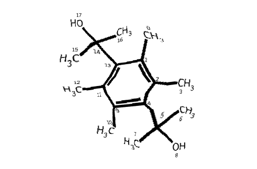 Cc1c(C)c(C(C)(C)O)c(C)c(C)c1C(C)(C)O